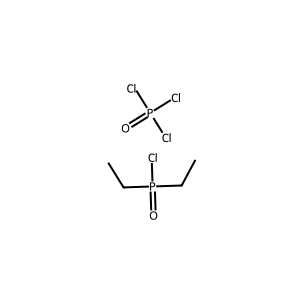 CCP(=O)(Cl)CC.O=P(Cl)(Cl)Cl